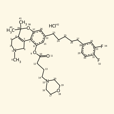 CN1CCC2=C(C1)c1c(OC(=O)CCCN3CCOCC3)cc(CCCCCc3ccc(F)c(F)c3)cc1OC2(C)C.Cl